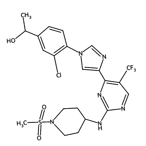 CC(O)c1ccc(-n2cnc(-c3nc(NC4CCN(S(C)(=O)=O)CC4)ncc3C(F)(F)F)c2)c(Cl)c1